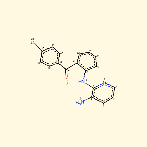 Nc1cccnc1Nc1ccccc1C(=O)c1ccc(Cl)cc1